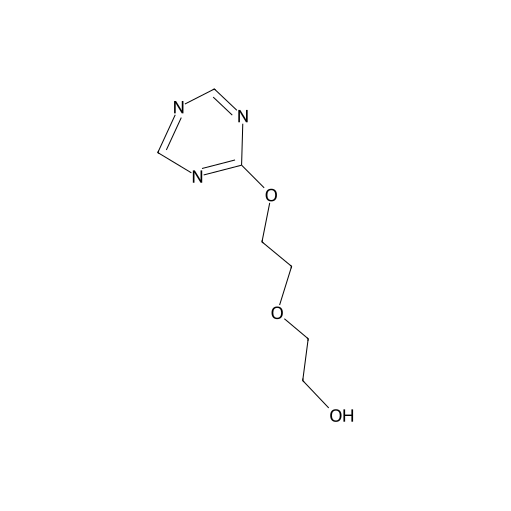 OCCOCCOc1ncncn1